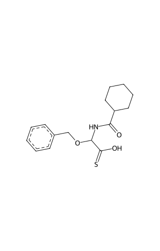 O=C(NC(OCc1ccccc1)C(O)=S)C1CCCCC1